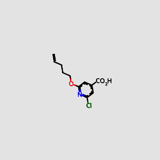 C=CCCCOc1cc(C(=O)O)cc(Cl)n1